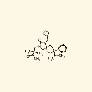 CN(C)[C@]1(c2ccccc2)CC[C@@]2(CC1)CN(CC(C)(C)C(N)=O)C(=O)N2CC1CCC1